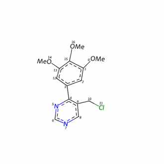 COc1cc(-c2ncncc2CCl)cc(OC)c1OC